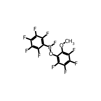 COc1c(F)c(F)c(F)c(F)c1OB(F)c1c(F)c(F)c(F)c(F)c1F